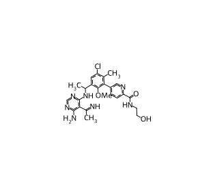 COc1c(C(C)Nc2ncnc(N)c2C(C)=N)cc(Cl)c(C)c1-c1ccc(C(=O)NCCO)nc1